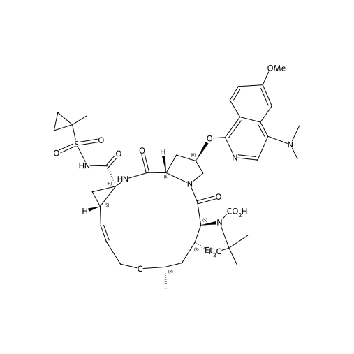 CC[C@@H]1C[C@H](C)CCC=C[C@@H]2C[C@@]2(C(=O)NS(=O)(=O)C2(C)CC2)NC(=O)[C@@H]2C[C@@H](Oc3ncc(N(C)C)c4cc(OC)ccc34)CN2C(=O)[C@H]1N(C(=O)O)C(C)(C)C(F)(F)F